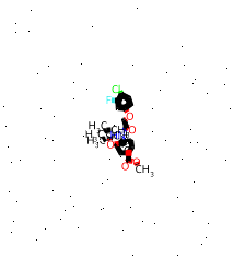 COC(=O)C12CCC(NC(=O)COc3ccc(Cl)c(F)c3)(CC1)C(O[Si](C)(C)C(C)(C)C)C2